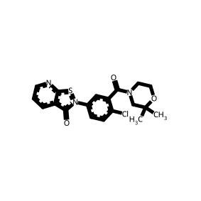 CC1(C)CN(C(=O)c2cc(-n3sc4ncccc4c3=O)ccc2Cl)CCO1